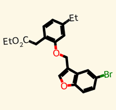 CCOC(=O)Cc1ccc(CC)cc1OCc1coc2ccc(Br)cc12